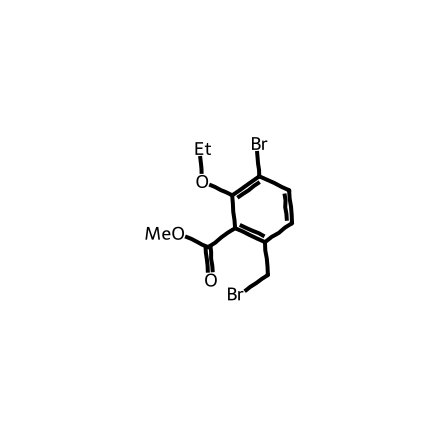 CCOc1c(Br)ccc(CBr)c1C(=O)OC